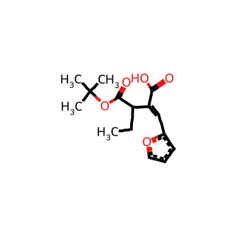 CCC(C(=O)OC(C)(C)C)/C(=C\c1ccco1)C(=O)O